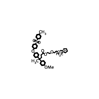 COc1ccc(C(C)(CCC(=O)OCCOCCOC[N+]2(C)CCCC2)c2ccc(Oc3ccc(S(=O)(=O)c4ccc(C)cc4)cc3)cc2)cc1